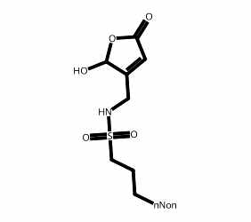 CCCCCCCCCCCCS(=O)(=O)NCC1=CC(=O)OC1O